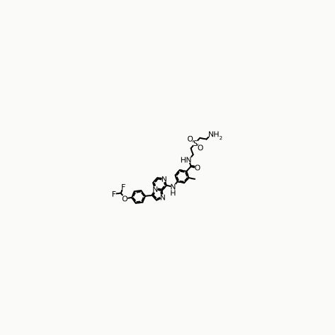 Cc1cc(Nc2nccn3c(-c4ccc(OC(F)F)cc4)cnc23)ccc1C(=O)NCCS(=O)(=O)CCN